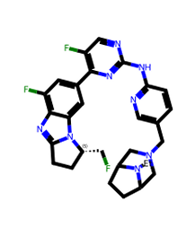 CCN1C2CCC1CN(Cc1ccc(Nc3ncc(F)c(-c4cc(F)c5nc6n(c5c4)[C@H](CF)CC6)n3)nc1)C2